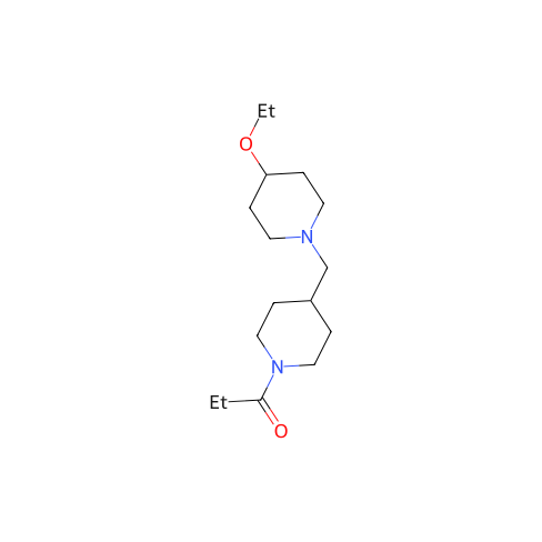 CCOC1CCN(CC2CCN(C(=O)CC)CC2)CC1